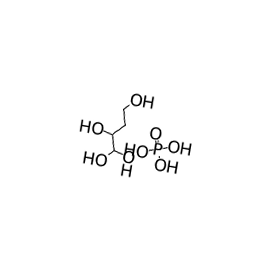 O=P(O)(O)O.OCCC(O)C(O)O